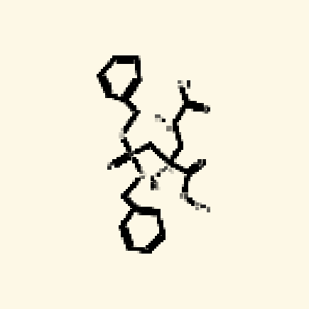 COC(=O)[C@](C)(C[C@H](F)C(=O)O)CP(=O)(OCc1ccccc1)OCc1ccccc1